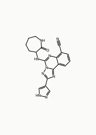 N#Cc1cccc2c1nc(NC1CCCCNC1=O)n1nc(-c3cn[nH]c3)nc21